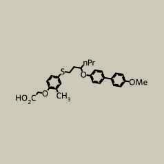 CCCC(CCSc1ccc(OCC(=O)O)c(C)c1)Oc1ccc(-c2ccc(OC)cc2)cc1